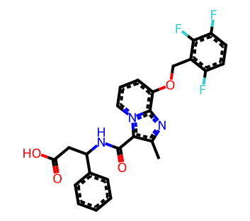 Cc1nc2c(OCc3c(F)ccc(F)c3F)cccn2c1C(=O)NC(CC(=O)O)c1ccccc1